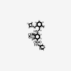 O=CO.O=S(=O)(Nc1cscn1)c1ccc(NCc2c(F)cccc2CN2CCC2)c(Cl)c1F